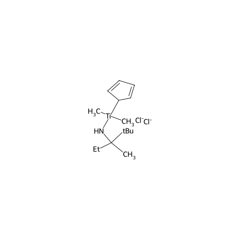 CCC(C)([NH][Ti]([CH3])([CH3])[CH]1C=CC=C1)C(C)(C)C.[Cl-].[Cl-]